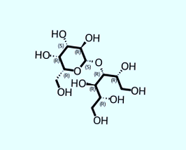 OC[C@@H](O)[C@@H](O)[C@H](O[C@@H]1O[C@H](CO)[C@H](O)[C@H](O)[C@H]1O)[C@H](O)CO